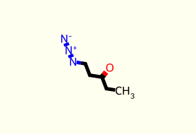 CCC(=O)CCN=[N+]=[N-]